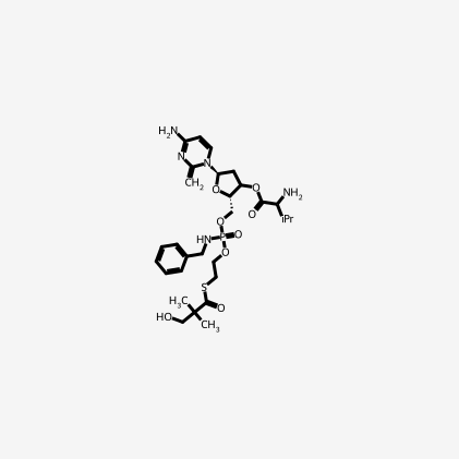 C=C1N=C(N)C=CN1[C@H]1CC(OC(=O)C(N)C(C)C)[C@H](COP(=O)(NCc2ccccc2)OCCSC(=O)C(C)(C)CO)O1